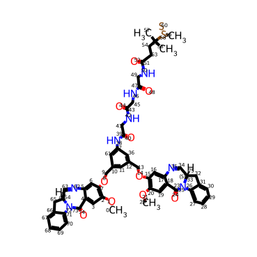 COc1cc2c(cc1OCc1cc(COc3cc4c(cc3OC)C(=O)N3c5ccccc5C[C@H]3C=N4)cc(NC(=O)CNC(=O)CNC(=O)CNC(=O)CCC(C)(C)S(C)=S)c1)N=C[C@@H]1Cc3ccccc3N1C2=O